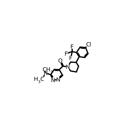 CN(C)c1cc(C(=O)N2CCCC(c3ccc(Cl)cc3C(F)(F)F)C2)cnn1